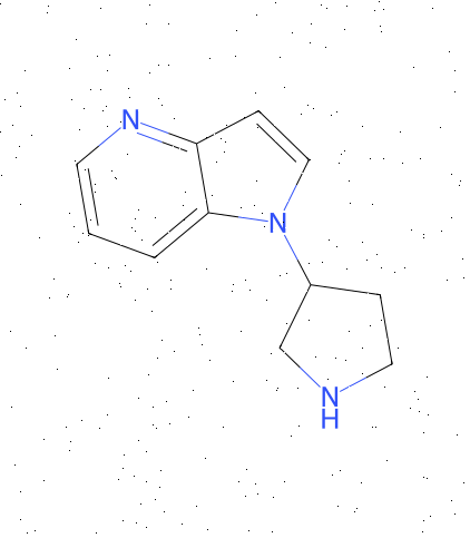 c1cnc2ccn(C3CCNC3)c2c1